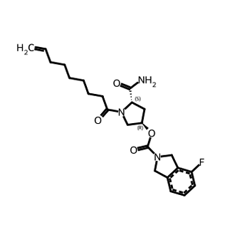 C=CCCCCCCC(=O)N1C[C@H](OC(=O)N2Cc3cccc(F)c3C2)C[C@H]1C(N)=O